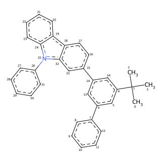 CC(C)(C)c1cc(-c2ccccc2)cc(-c2ccc3c4ccccc4n(-c4ccccc4)c3c2)c1